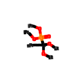 CCC[Si](OCC)(OCC)P(=O)(OC(C)C)OC(C)C